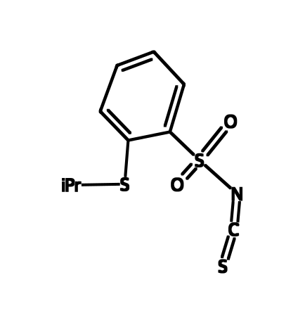 CC(C)Sc1ccccc1S(=O)(=O)N=C=S